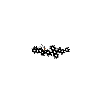 CC1(C)c2cc3ccccc3cc2-c2ccc3c(sc4cc(-c5c6ccccc6c(-c6ccc7cc(-c8ccccc8)ccc7c6)c6ccccc56)ccc43)c21